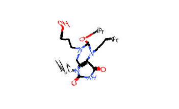 CC(C)CCN1c2c(n(C)c(=O)[nH]c2=O)N(CCCO)C1OC(C)C